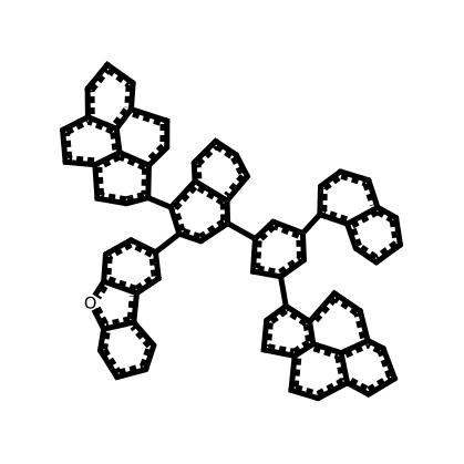 c1ccc2c(-c3cc(-c4cc(-c5ccc6oc7ccccc7c6c5)c(-c5ccc6ccc7cccc8ccc5c6c78)c5ccccc45)cc(-c4ccc5ccc6cccc7ccc4c5c67)c3)cccc2c1